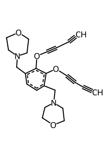 C#CC#COc1c(CN2CCOCC2)ccc(CN2CCOCC2)c1OC#CC#C